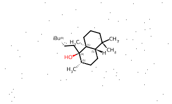 CC[C@@H](C)CC[C@@]1(O)[C@@H](C)CC[C@H]2C(C)(C)CCC[C@@]21C